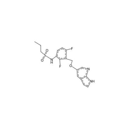 CCCS(=O)(=O)Nc1ccc(F)c(COc2cnc3[nH]ccc3c2)c1F